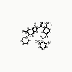 CC(Oc1ccc(N)c(C(=N)c2nc3cc(N4CCCCC4)c(F)cc3[nH]2)c1)c1c(Cl)cncc1Cl